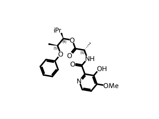 COc1ccnc(C(=O)N[C@@H](C)C(=O)O[C@H](C(C)C)[C@H](C)Oc2ccccc2)c1O